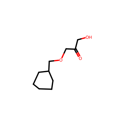 O=C(CO)COCC1CCCCC1